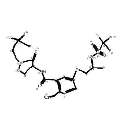 C[C@@H](COc1cnc(Cl)c(C(=O)NC2CON(CC(F)(F)F)C2=O)c1)NS(=O)(=O)C(F)(F)F